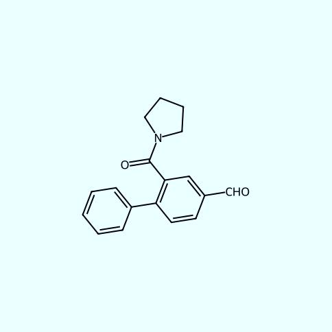 O=Cc1ccc(-c2ccccc2)c(C(=O)N2CCCC2)c1